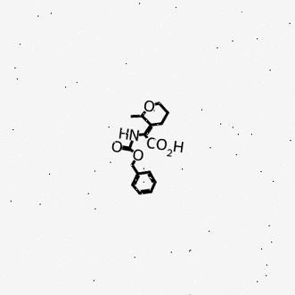 CC1OCCCC1=C(NC(=O)OCc1ccccc1)C(=O)O